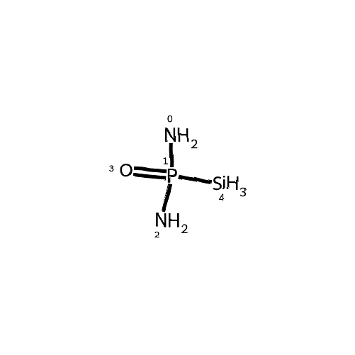 NP(N)(=O)[SiH3]